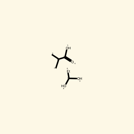 CC(C)C(=O)O.CCC(O)O